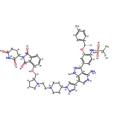 C[C@H](Oc1cc(-c2nn(C)c3c(-c4cnn(C5CCN(CCN6CCCC6COc6cccc7c6C(=O)N(C6CCC(=O)NC6=O)C7=O)CC5)c4)cnc(N)c23)ccc1NS(=O)(=O)C(F)F)c1ccc(F)cc1